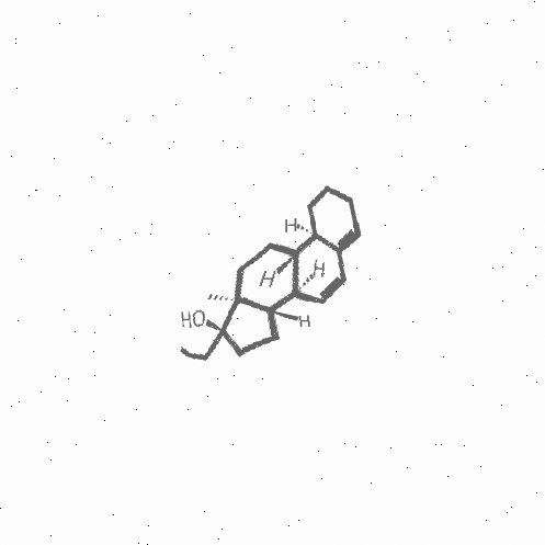 CC[C@@]1(O)CC[C@H]2[C@@H]3C=CC4=CCCC[C@@H]4[C@H]3CC[C@@]21C